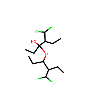 CCC(OC(O)(CC)C(CC)C(Cl)Cl)C(CC)C(Cl)Cl